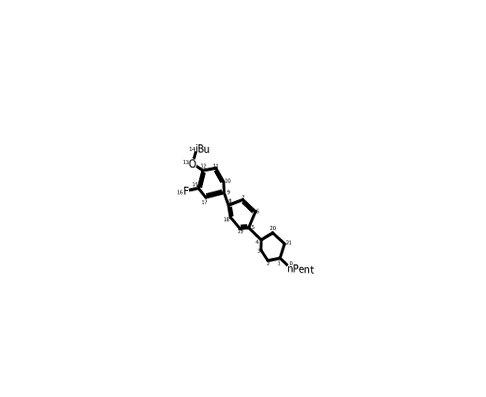 CCCCCC1CCC(c2ccc(-c3ccc(OC(C)CC)c(F)c3)cc2)CC1